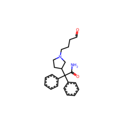 NC(=O)C(c1ccccc1)(c1ccccc1)C1CCN(CCCC=O)C1